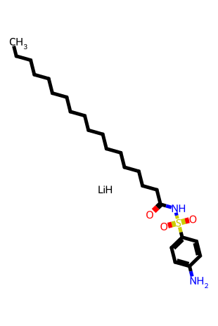 CCCCCCCCCCCCCCCCCC(=O)NS(=O)(=O)c1ccc(N)cc1.[LiH]